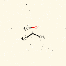 C[CH]C.C[O]